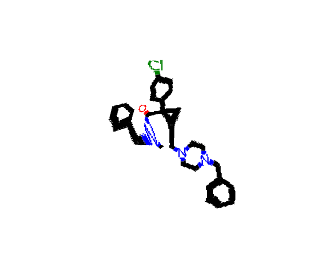 CN(Cc1ccccc1)C(=O)C1(c2ccc(Cl)cc2)CC1CN1CCN(Cc2ccccc2)CC1